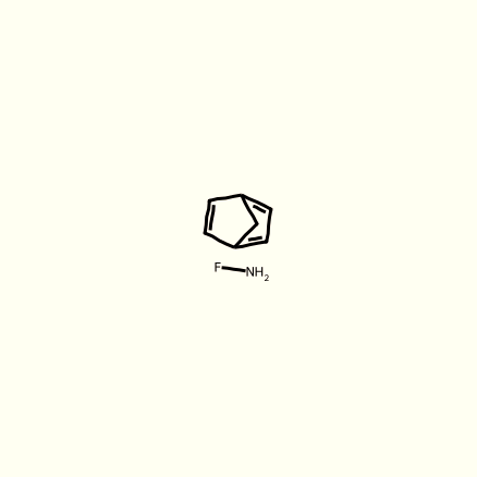 C1=CC2=CC=C1C2.NF